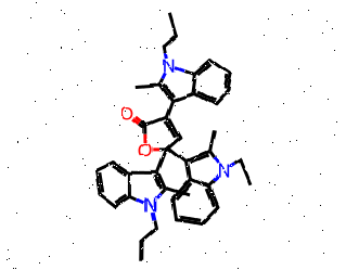 CCCn1c(C)c(C2=CC(c3c(C)n(CC)c4ccccc34)(c3c(C)n(CCC)c4ccccc34)OC2=O)c2ccccc21